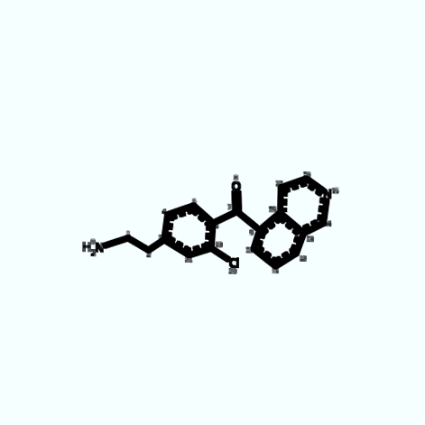 NCCc1ccc(C(=O)c2cccc3cnccc23)c(Cl)c1